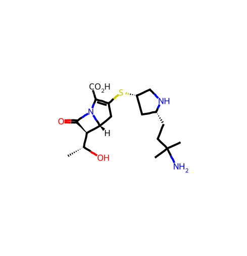 C[C@@H](O)[C@H]1C(=O)N2C(C(=O)O)=C(S[C@@H]3CN[C@H](CCC(C)(C)N)C3)C[C@H]12